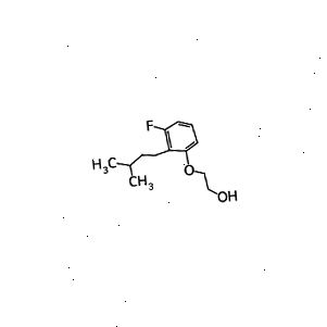 CC(C)CCc1c(F)cccc1OCCO